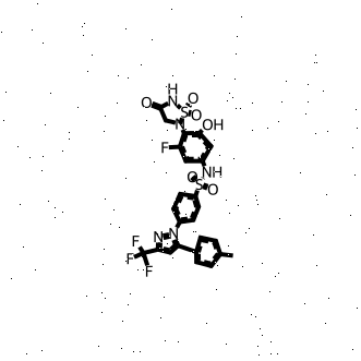 Cc1ccc(-c2cc(C(F)(F)F)nn2-c2ccc(S(=O)(=O)Nc3cc(O)c(N4CC(=O)NS4(=O)=O)c(F)c3)cc2)cc1